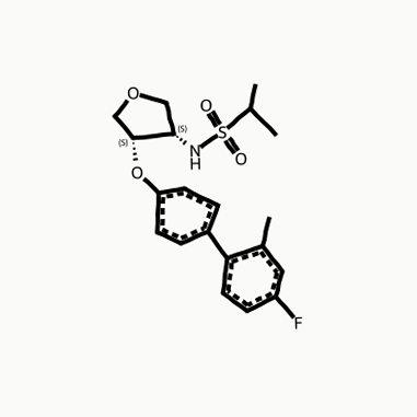 Cc1cc(F)ccc1-c1ccc(O[C@@H]2COC[C@@H]2NS(=O)(=O)C(C)C)cc1